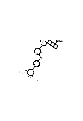 CC(=O)NC12C3CC1C1C2C3C1(C)COc1ccnc(Nc2ccc(N3C[C@@H](C)O[C@@H](C)C3)cc2)n1